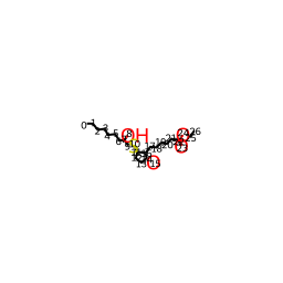 CCCCCCCC(O)CSC1CCC(=O)C1CCCCCC(=O)OCC